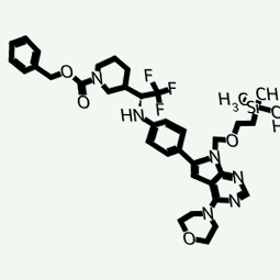 C[Si](C)(C)CCOCn1c(-c2ccc(N[C@H](C3CCCN(C(=O)OCc4ccccc4)C3)C(F)(F)F)cc2)cc2c(N3CCOCC3)ncnc21